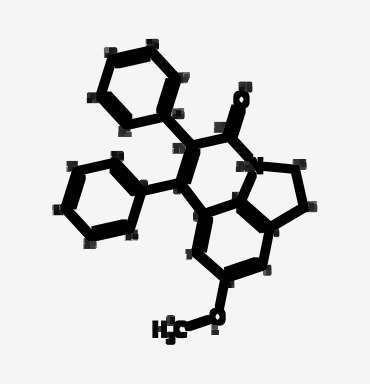 COc1cc2c3c(c1)c(-c1ccccc1)c(-c1ccccc1)c(=O)n3CC2